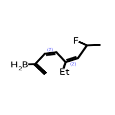 BC(=C)/C=C\C(=C/C(C)F)CC